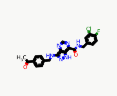 CC(=O)c1ccc(CNc2n[nH]c3c(C(=O)NCc4ccc(F)c(Cl)c4)ncnc23)cc1